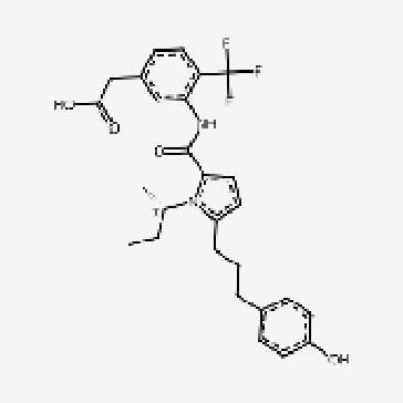 CC[C@H](C)n1c(CCCc2ccc(O)cc2)ccc1C(=O)Nc1cc(CC(=O)O)ccc1C(F)(F)F